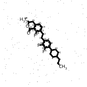 CCCC1CCC(c2ccc(CCc3ccc4c(c3F)C(=O)OC(C)C4)c(F)c2F)CC1